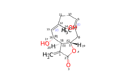 C=C1C(=O)O[C@H]2C/C(C)=C/CC/C(CO)=C/[C@@H](O)[C@H]12